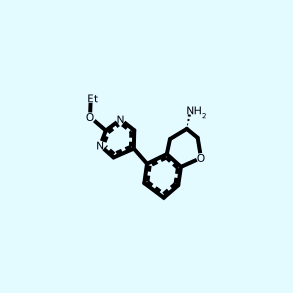 CCOc1ncc(-c2cccc3c2C[C@H](N)CO3)cn1